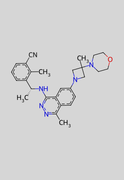 Cc1c(C#N)cccc1[C@@H](C)Nc1nnc(C)c2ccc(N3CC(C)(N4CCOCC4)C3)cc12